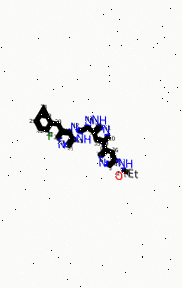 CCC(=O)Nc1cncc(-c2cnc3[nH]nc(-c4nc5c(CC6C7CC7C=C[C@H]6F)cncc5[nH]4)c3c2)c1